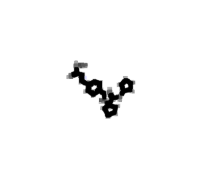 COC(=O)/C=C/c1ccc(CNC2(C(=O)OC3CCCC3)CCCC2)cc1